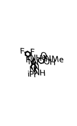 CNC(=O)[C@]1(O)CC[C@H](n2c(Nc3c(F)cc(F)cc3F)nc3cnc(NC(C)C)nc32)CC1